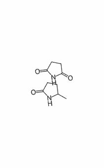 CC1CCC(=O)N1.O=C1CCC(=O)N1